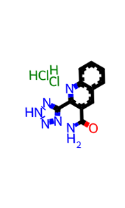 Cl.Cl.NC(=O)c1cc2ccccc2nc1-c1nn[nH]n1